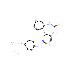 COc1ccc(Nc2ncc3c(n2)-c2ccc(F)cc2NC(=O)C3)cc1OC